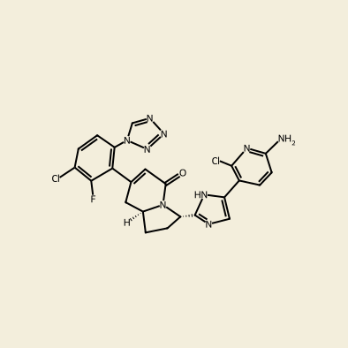 Nc1ccc(-c2cnc([C@@H]3CC[C@H]4CC(c5c(-n6cnnn6)ccc(Cl)c5F)=CC(=O)N43)[nH]2)c(Cl)n1